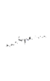 CCCCCCOC(=O)/C=C/C(=O)OCC(=O)OCCCCCC